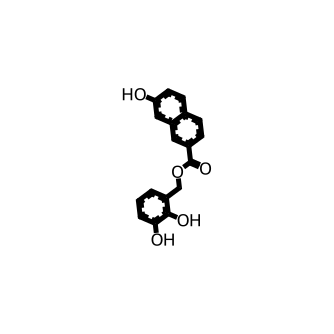 O=C(OCc1cccc(O)c1O)c1ccc2ccc(O)cc2c1